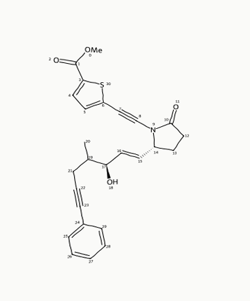 COC(=O)c1ccc(C#CN2C(=O)CC[C@@H]2/C=C/[C@@H](O)C(C)CC#Cc2ccccc2)s1